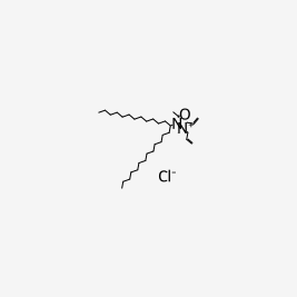 C=CC[N+](C)(CC=C)N(C(C)=O)C(CCCCCCCCCCCC)CCCCCCCCCCCCC.[Cl-]